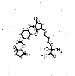 CC(=O)C(C)(C)OCCCSC1CC(=O)N(C[C@H]2CC[C@H](C(=O)ON3C(=O)CCC3=O)CC2)C1=O